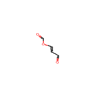 O=CC=COC=O